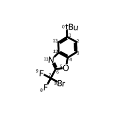 CC(C)(C)c1ccc2oc(C(F)(F)Br)nc2c1